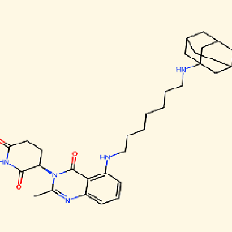 Cc1nc2cccc(NCCCCCCCNC34CC5CC(CC(C5)C3)C4)c2c(=O)n1[C@@H]1CCC(=O)NC1=O